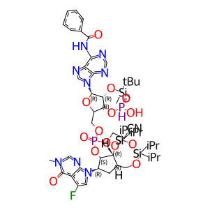 CC(C)[Si]1(C(C)C)OC[C@H]2C[C@@H](n3cc(F)c4c(=O)n(C)cnc43)[C@H](OP(=O)(OCCC#N)OCC3O[C@@H](n4cnc5c(NC(=O)c6ccccc6)ncnc54)[C@H](O[Si](C)(C)C(C)(C)C)[C@@H]3O[PH](=O)O)[C@@H]2O[Si](C(C)C)(C(C)C)O1